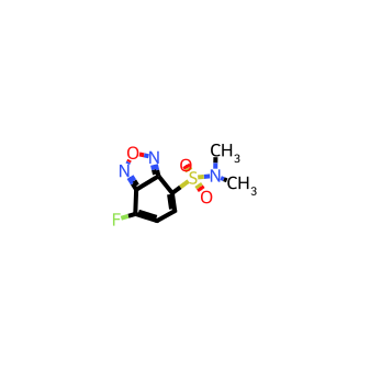 CN(C)S(=O)(=O)c1ccc(F)c2nonc12